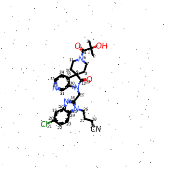 CC(C)(O)C(=O)N1CCC2(CC1)C(=O)N(Cc1nc3cc(Cl)ccc3n1CCCC#N)c1cnccc12